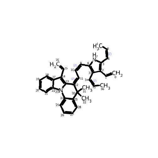 C=Cc1c(/C=C\C)[nH]c(/C=C\C=C2/c3c(C=C)c4ccccc4n3-c3ccccc3C2(C)C)c1/C=C\C